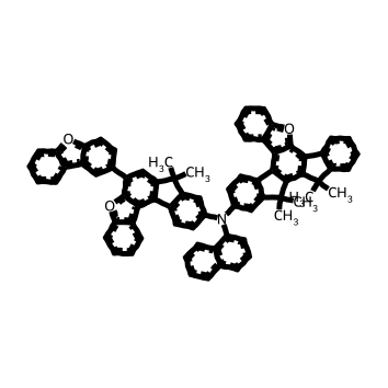 CC1(C)c2cc(N(c3ccc4c(c3)C(C)(C)c3c5c(c6oc7ccccc7c6c3-4)-c3ccccc3C5(C)C)c3cccc4ccccc34)ccc2-c2c1cc(-c1ccc3oc4ccccc4c3c1)c1oc3ccccc3c21